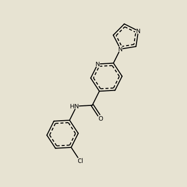 O=C(Nc1cccc(Cl)c1)c1ccc(-n2ccnc2)nc1